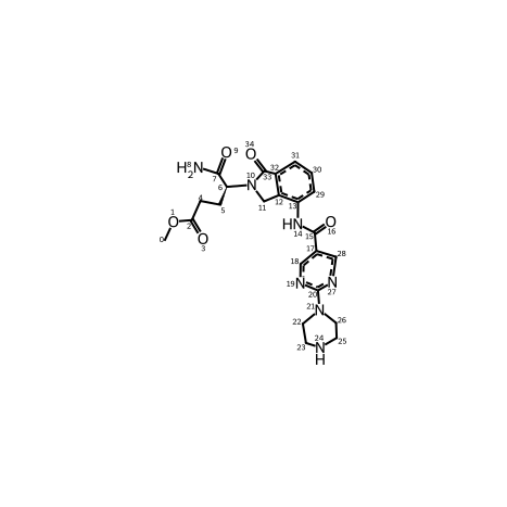 COC(=O)CC[C@@H](C(N)=O)N1Cc2c(NC(=O)c3cnc(N4CCNCC4)nc3)cccc2C1=O